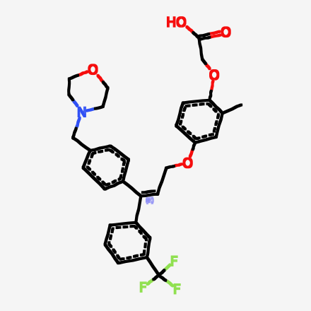 Cc1cc(OC/C=C(\c2ccc(CN3CCOCC3)cc2)c2cccc(C(F)(F)F)c2)ccc1OCC(=O)O